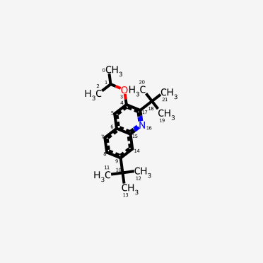 CC(C)Oc1cc2ccc(C(C)(C)C)cc2nc1C(C)(C)C